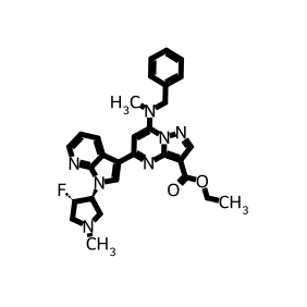 CCOC(=O)c1cnn2c(N(C)Cc3ccccc3)cc(-c3cn([C@H]4CN(C)C[C@@H]4F)c4ncccc34)nc12